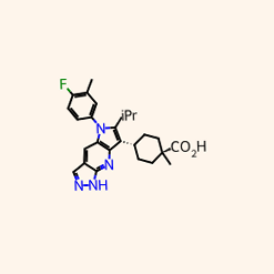 Cc1cc(-n2c(C(C)C)c([C@H]3CC[C@](C)(C(=O)O)CC3)c3nc4[nH]ncc4cc32)ccc1F